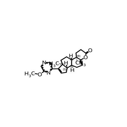 COc1cncc(C2=CC[C@H]3[C@@H]4CC=C5OC(=O)CC[C@]5(C)[C@H]4CC[C@]23C)n1